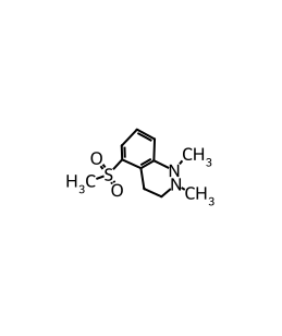 CN1CCc2c(cccc2S(C)(=O)=O)N1C